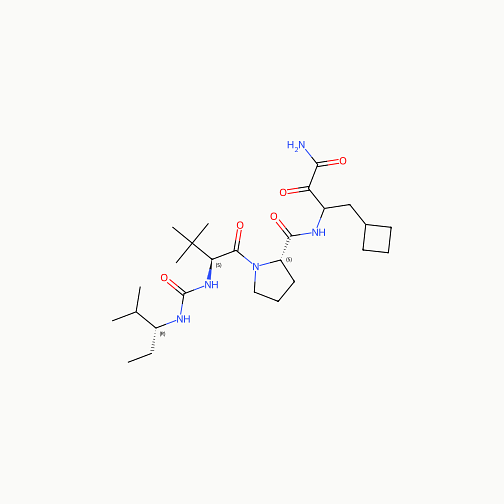 CC[C@@H](NC(=O)N[C@H](C(=O)N1CCC[C@H]1C(=O)NC(CC1CCC1)C(=O)C(N)=O)C(C)(C)C)C(C)C